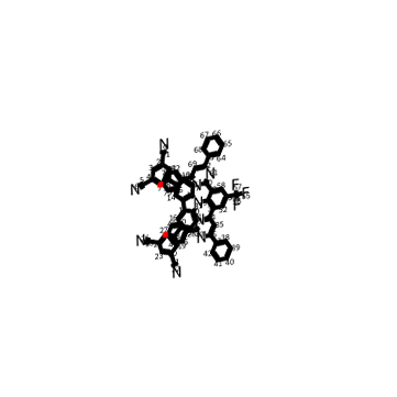 N#Cc1cc(C#N)cc(-c2ccc3c(c2)c2cc(-c4cc(C#N)cc(C#N)c4)ccc2n3-c2c(-c3cc(-c4ccccc4)nc(-c4ccccc4)n3)cc(C(F)(F)F)cc2-c2nc(-c3ccccc3)cc(-c3ccccc3)n2)c1